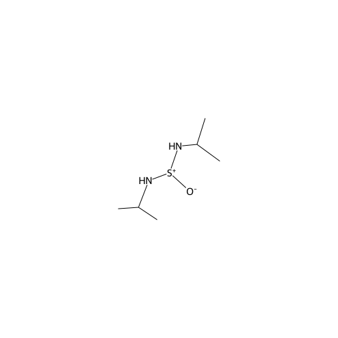 CC(C)N[S+]([O-])NC(C)C